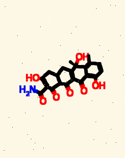 Cc1ccc(O)c2c1[C@@](C)(O)C1=C(C2=O)C(=O)C2C(=O)C(C(N)=O)=C(O)CC2C1